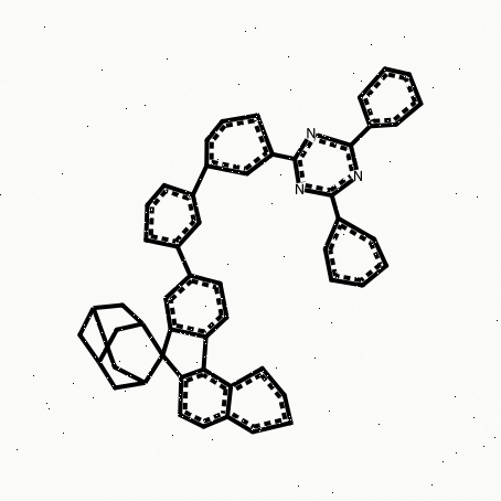 c1ccc(-c2nc(-c3ccccc3)nc(-c3cccc(-c4cccc(-c5ccc6c(c5)C5(c7ccc8ccccc8c7-6)C6CC7CC(C6)CC5C7)c4)c3)n2)cc1